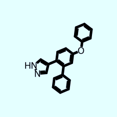 c1ccc(Oc2ccc(-c3cn[nH]c3)c(-c3ccccc3)c2)cc1